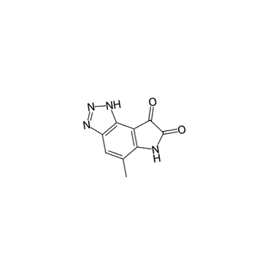 Cc1cc2nn[nH]c2c2c1NC(=O)C2=O